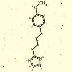 COc1ccc(CCCCc2nn[nH]n2)cc1